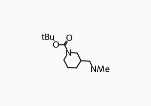 CNCC1CCCN(C(=O)OC(C)(C)C)C1